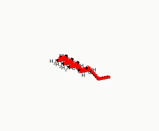 CCCCCCCC/C=C\CCCCCCCC(=O)N[C@@H](C)CN(CC(=O)N[C@@H](C)CN(CC(=O)N[C@@H](CC(C)C)CN(CC(=O)N[C@@H](CC(C)C)CN(CC(=O)N[C@@H](CC(C)C)CN(CC(N)=O)C(=O)CCCN)C(=O)CCCN)C(=O)CCCN)C(C)=O)C(C)=O